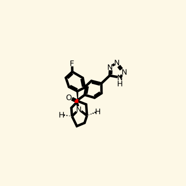 O=C(c1ccc(-c2nnn[nH]2)cc1)N1[C@@H]2CC[C@H]1C[C@@H](c1ccc(F)cc1)C2